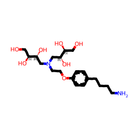 NCCCCc1ccc(OCCN(C[C@@H](O)[C@@H](O)CO)C[C@@H](O)[C@@H](O)CO)cc1